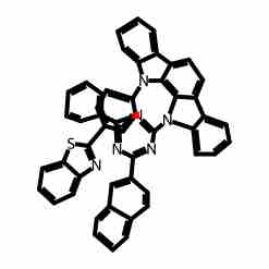 c1ccc(-c2nc(-c3ccc4ccccc4c3)nc(-n3c4ccccc4c4ccc5c6ccccc6n(-c6ccc(-c7nc8ccccc8s7)cc6)c5c43)n2)cc1